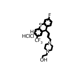 Cl.Cl.OCCN1CCN(CC=CC2c3ccc(F)cc3Sc3ccc(C(F)(F)F)cc32)CC1